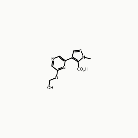 Cn1ncc(-c2cncc(OCO)n2)c1C(=O)O